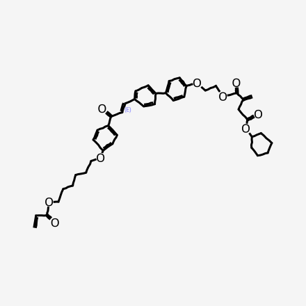 C=CC(=O)OCCCCCCOc1ccc(C(=O)/C=C/c2ccc(-c3ccc(OCCOC(=O)C(=C)CC(=O)OC4CCCCC4)cc3)cc2)cc1